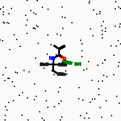 Br.Br.Br.C=C(C)C(=O)NC([CH]NC)(NC)NC